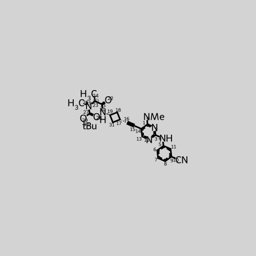 CNc1nc(Nc2cccc(C#N)c2)ncc1C#C[C@H]1C[C@@H](NC(=O)[C@H](C)N(C)C(=O)OC(C)(C)C)C1